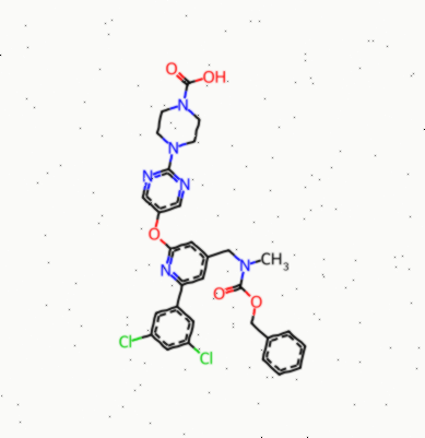 CN(Cc1cc(Oc2cnc(N3CCN(C(=O)O)CC3)nc2)nc(-c2cc(Cl)cc(Cl)c2)c1)C(=O)OCc1ccccc1